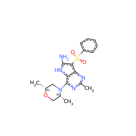 Cc1nc(N2C[C@@H](C)OC[C@H]2C)c2[nH]c(N)c(S(=O)(=O)c3ccccc3)c2n1